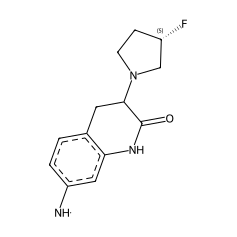 [NH]c1ccc2c(c1)NC(=O)C(N1CC[C@H](F)C1)C2